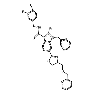 CC(C)c1c(C(=O)NCc2ccc(F)c(F)c2)c2ccc(C3=NC(COCc4ccccc4)CO3)cc2n1Cc1ccccn1